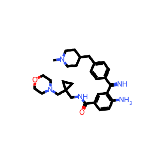 CN1CCC(Cc2ccc(C(=N)c3cc(C(=O)NCC4(CN5CCOCC5)CC4)ccc3N)cc2)CC1